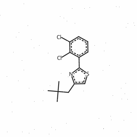 CC(C)(C)Cc1csc(-c2cccc(Cl)c2Cl)n1